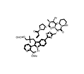 C=CC(=O)N1CC[C@H](C(=O)N(C)[C@H](C(=O)N[C@@H](Cc2nc(-c3ccc4c(c3)c(CC(C)(C)COC=O)c(-c3cccnc3[C@H](C)OC)n4CC)ns2)C(=O)N2CCCCN2)C(C)C)C1